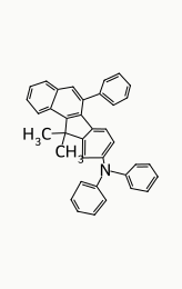 CC1(C)c2cc(N(c3ccccc3)c3ccccc3)ccc2-c2c(-c3ccccc3)cc3ccccc3c21